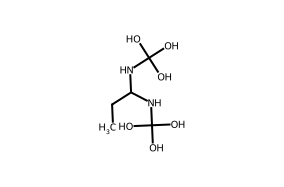 CCC(NC(O)(O)O)NC(O)(O)O